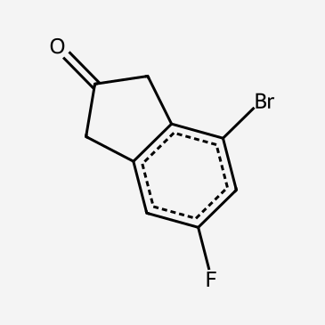 O=C1Cc2cc(F)cc(Br)c2C1